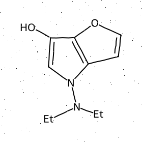 CCN(CC)n1cc(O)c2occc21